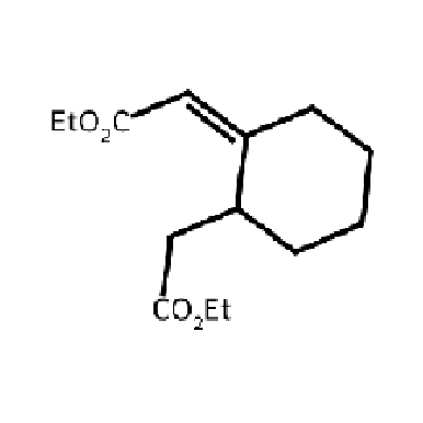 CCOC(=O)/C=C1/CCCCC1CC(=O)OCC